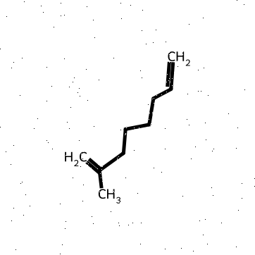 C=CCCCCC(=C)C